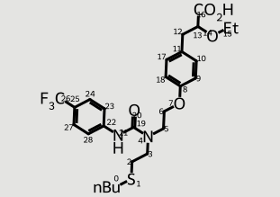 CCCCSCCN(CCOc1ccc(CC(OCC)C(=O)O)cc1)C(=O)Nc1ccc(C(F)(F)F)cc1